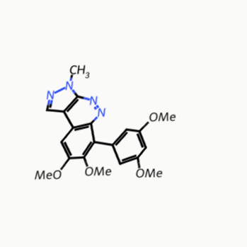 COc1cc(OC)cc(-c2c(OC)c(OC)cc3c2nnc2c3cnn2C)c1